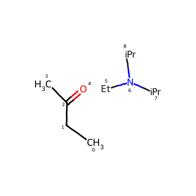 CCC(C)=O.CCN(C(C)C)C(C)C